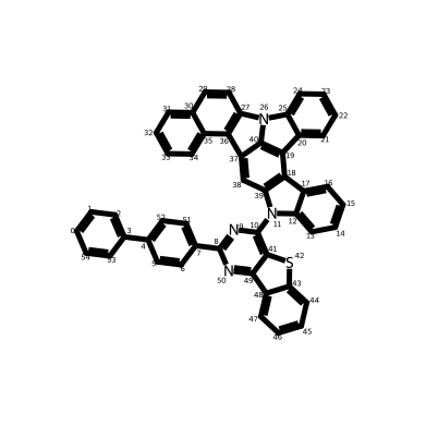 c1ccc(-c2ccc(-c3nc(-n4c5ccccc5c5c6c7ccccc7n7c8ccc9ccccc9c8c(cc54)c67)c4sc5ccccc5c4n3)cc2)cc1